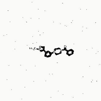 Cn1cc(-c2cccc(N3CCN(C(=O)c4ccccc4)CC3)c2)cn1